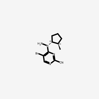 C[C@@H]1CCC[C@H]1N(N)c1nc(C#N)ncc1Br